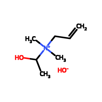 C=CC[N+](C)(C)C(C)O.[OH-]